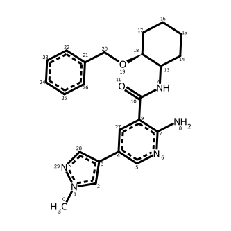 Cn1cc(-c2cnc(N)c(C(=O)NC3CCCC[C@@H]3OCc3ccccc3)c2)cn1